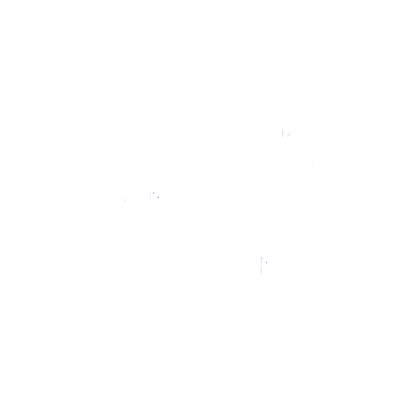 Cc1ccc(C(NC(=O)Cc2ccc3[nH]cc(CCC(=O)OC(C)(C)C)c3c2)c2ccccc2)c(Br)c1